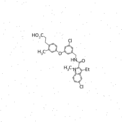 CCc1c(C(=O)NCc2cc(Cl)cc(Oc3ccc(CCC(=O)O)c(C)c3)c2)n(C)c2ccc(Cl)cc12